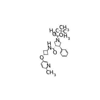 Cc1ccc(O[C@H]2C[C@H](NC(=O)[C@@H]3CN(C(=O)OC(C)(C)C)C[C@H]3c3ccccc3)C2)cn1